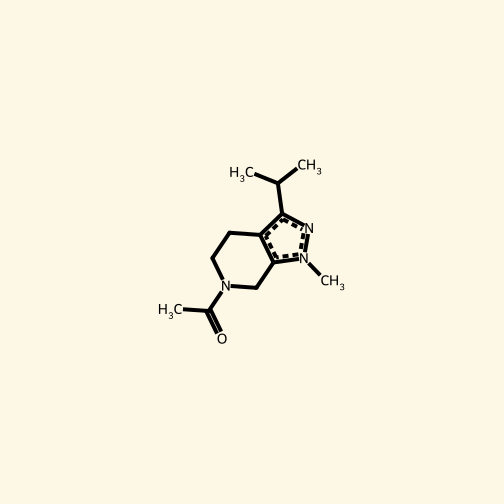 CC(=O)N1CCc2c(C(C)C)nn(C)c2C1